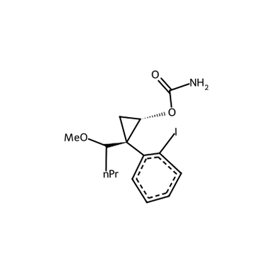 CCCC(OC)[C@@]1(c2ccccc2I)C[C@@H]1OC(N)=O